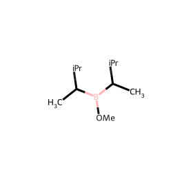 COB(C(C)C(C)C)C(C)C(C)C